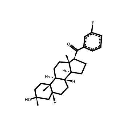 C[C@@]1(O)CC[C@@]2(C)[C@H](CC[C@@H]3[C@@H]2CC[C@]2(C)[C@@H](C(=O)c4cccc(F)c4)CC[C@@H]32)C1